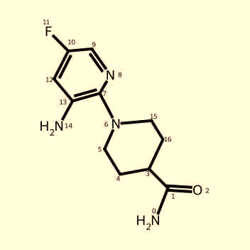 NC(=O)C1CCN(c2ncc(F)cc2N)CC1